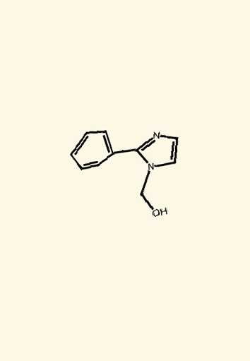 OCn1ccnc1-c1ccccc1